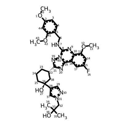 COc1ccc(CNc2nc3c(OC)cc(F)cc3c3nc([C@H]4CCC[C@@](O)(c5cnn(CC(C)(C)O)c5)C4)nn23)c(OC)c1